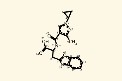 Cc1nn(C2CC2)cc1C(=O)NC(Cc1nc2ccccc2o1)C(=O)O